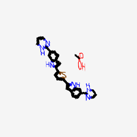 CC(=O)O.c1cc2cc(-c3ccc(-c4cc5ccc(C6=NCCCN6)cc5[nH]4)s3)[nH]c2cc1C1=NCCCN1